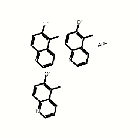 Cc1c([O-])ccc2ncccc12.Cc1c([O-])ccc2ncccc12.Cc1c([O-])ccc2ncccc12.[Al+3]